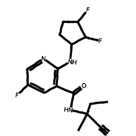 C#CC(C)(CC)NC(=O)c1cc(F)cnc1NC1CCC(F)C1F